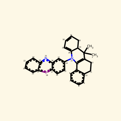 CC1(C)C2=C(c3ccccc3CC2)N(c2ccc3pc4ccccc4nc3c2)C2=CC=CCC21